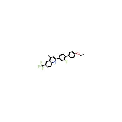 CCOc1ccc(-c2ccc(-c3cc(C)c4cc(C(F)(F)F)ccc4n3)cc2F)cc1